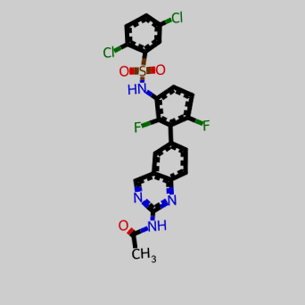 CC(=O)Nc1ncc2cc(-c3c(F)ccc(NS(=O)(=O)c4cc(Cl)ccc4Cl)c3F)ccc2n1